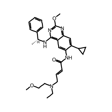 CCN(CC=CC(=O)Nc1cc2c(N[C@H](C)c3ccccc3)nc(OC)nc2cc1C1CC1)CCOC